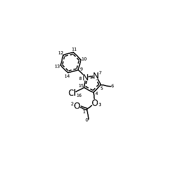 CC(=O)Oc1c(C)nn(-c2ccccc2)c1Cl